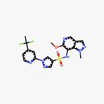 COc1ncc2cnn(C)c2c1NS(=O)(=O)c1cnn(-c2cc(C(C)(F)F)ccn2)c1